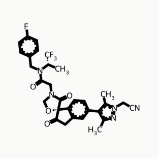 Cc1nn(CC#N)c(C)c1-c1ccc2c(c1)CC(=O)[C@]21OCN(CC(=O)N(Cc2ccc(F)cc2)[C@@H](C)C(F)(F)F)C1=O